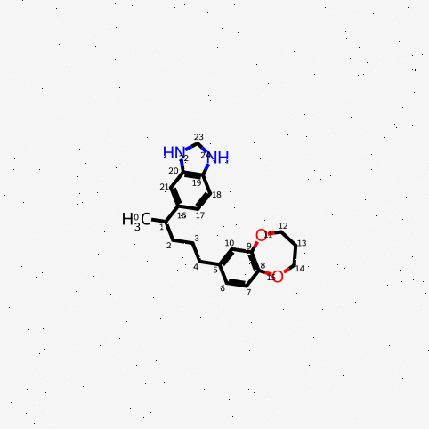 CC(CCCc1ccc2c(c1)OCCCO2)c1ccc2c(c1)NCN2